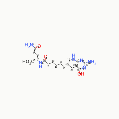 NC(=O)CC[C@H](NC(=O)CCCCC[C@@H]1CNc2nc(N)nc(O)c2C1)C(=O)O